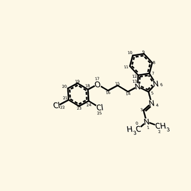 CN(C)C=Nc1nc2ccccc2n1CCCOc1ccc(Cl)cc1Cl